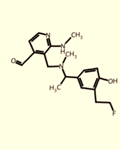 CNc1nccc(C=O)c1CN(C)C(C)c1ccc(O)c(CCF)c1